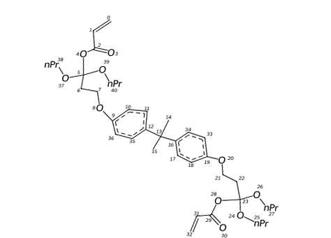 C=CC(=O)OC(CCOc1ccc(C(C)(C)c2ccc(OCCC(OCCC)(OCCC)OC(=O)C=C)cc2)cc1)(OCCC)OCCC